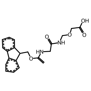 C=C(NCC(=O)NCOCC(=O)O)OCC1c2ccccc2-c2ccccc21